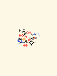 C[C@H](O)C(O)OPC(O)(Cn1ccnc1)[P@](O)C1CCC1CC(=O)CN